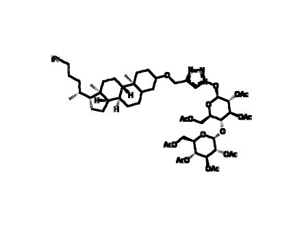 CC(=O)OC[C@H]1O[C@H](O[C@H]2[C@H](OC(C)=O)[C@@H](OC(C)=O)[C@H](On3cc(COC4CC[C@@]5(C)C(CC[C@H]6[C@@H]7CC[C@H]([C@H](C)CCCC(C)C)[C@@]7(C)CC[C@@H]65)C4)nn3)O[C@@H]2COC(C)=O)[C@H](OC(C)=O)[C@@H](OC(C)=O)[C@@H]1OC(C)=O